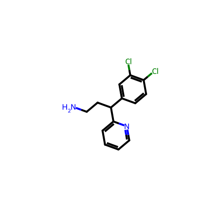 NCCC(c1ccc(Cl)c(Cl)c1)c1ccccn1